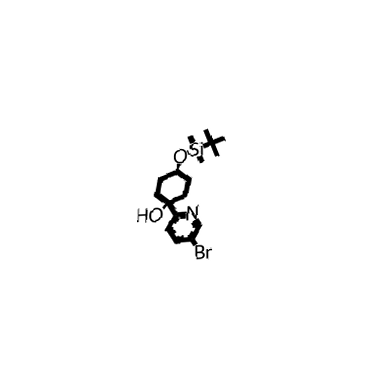 CC(C)(C)[Si](C)(C)O[C@H]1CC[C@](O)(c2ccc(Br)cn2)CC1